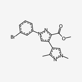 COC(=O)c1nn(-c2cccc(Br)c2)cc1-c1cn(C)nc1C